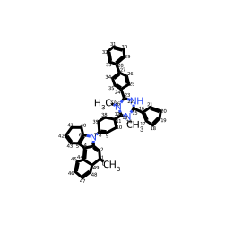 CC1C=c2c(c3c(n2C2=CCC(C4N(C)C(c5ccccc5)NC(c5ccc(-c6ccccc6)cc5)N4C)CC2)CCC=C3)=C2C=CC=CC21